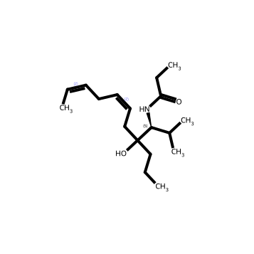 C/C=C\C/C=C\CC(O)(CCC)[C@@H](NC(=O)CC)C(C)C